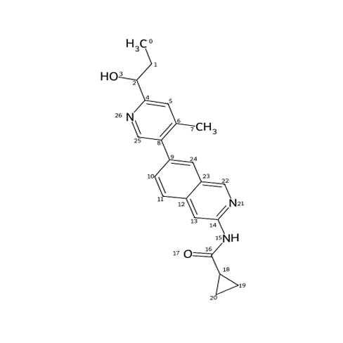 CCC(O)c1cc(C)c(-c2ccc3cc(NC(=O)C4CC4)ncc3c2)cn1